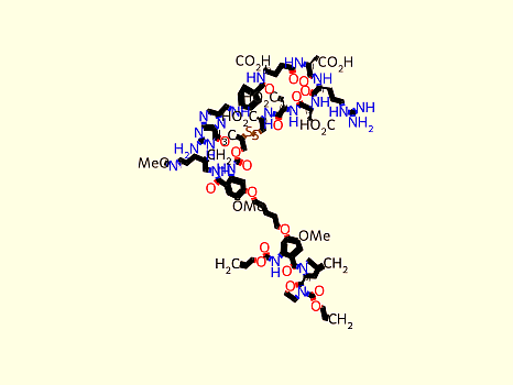 C=CCOC(=O)Nc1cc(OCCCCCOc2cc(NC(=O)OCC(C)SSC[C@H](NC(=O)[C@H](CC(=O)O)NC(=O)[C@H](CC(=O)O)NC(=O)[C@H](CCCNC(=N)N)NC(=O)[C@H](CC(=O)O)NC(=O)CC[C@H](NC(=O)c3ccc(NCc4cnc5nc(N)[nH]c(=O)c5n4)cc3)C(=O)O)C(=O)O)c(C(=O)NCC(=C)CC/C=N/OC)cc2OC)c(OC)cc1C(=O)N1CC(=C)C[C@H]1C1OCCN1C(=O)OCC=C